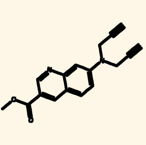 C#CCN(CC#C)c1ccc2cc(C(=O)OC)cnc2c1